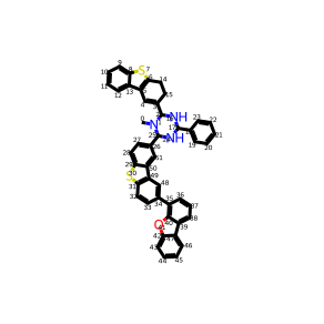 CN1C(C2=Cc3c(sc4ccccc34)CC2)NC(c2ccccc2)NC1c1ccc2sc3ccc(-c4cccc5c4oc4ccccc45)cc3c2c1